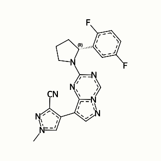 Cn1cc(-c2cnn3cnc(N4CCC[C@@H]4c4cc(F)ccc4F)nc23)c(C#N)n1